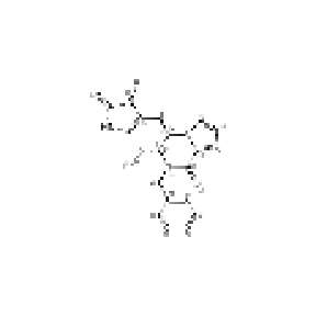 CCS[C@@H]1[C@@H](Cc2c[nH]c(=O)n2C)n2cccc2C(=O)N1Cc1ccccc1